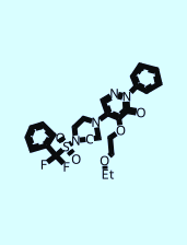 CCOCCOc1c(N2CCN(S(=O)(=O)C(F)(F)c3ccccc3)CC2)cnn(-c2ccccc2)c1=O